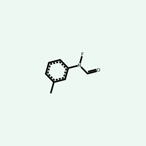 Cc1cccc(N(F)C=O)c1